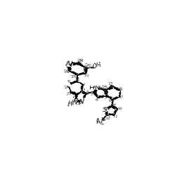 C=C(/C=c1/c(-c2cc3c(-c4ccc(C(C)=O)s4)cccc3[nH]2)n[nH]/c1=C/C)c1cncc(O)c1